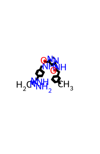 C=N/N=C(\NN)c1ccc(CNC(=O)c2cc(NC(=O)Cc3cccc(C)c3)ncn2)cc1